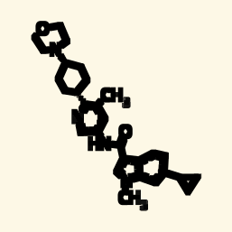 Cc1cc(NC(=O)c2cn(C)c3cc(C4CC4)ccc23)cnc1[C@H]1CC[C@H](N2CCOCC2)CC1